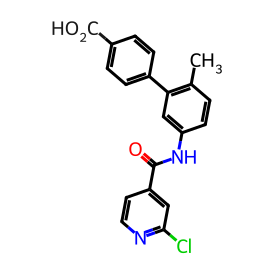 Cc1ccc(NC(=O)c2ccnc(Cl)c2)cc1-c1ccc(C(=O)O)cc1